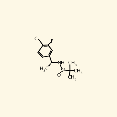 C[C@H](N[S+]([O-])C(C)(C)C)c1ccc(Cl)c(F)c1